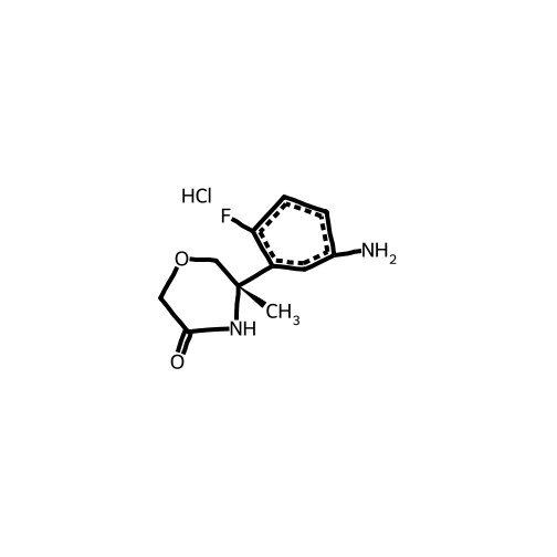 C[C@]1(c2cc(N)ccc2F)COCC(=O)N1.Cl